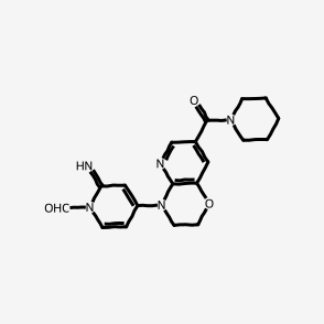 N=c1cc(N2CCOc3cc(C(=O)N4CCCCC4)cnc32)ccn1C=O